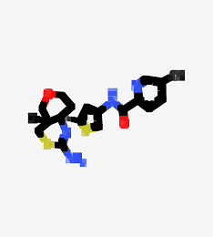 N#Cc1ccc(C(=O)Nc2csc([C@@]34CCOC[C@H]3CSC(N)=N4)c2)nc1